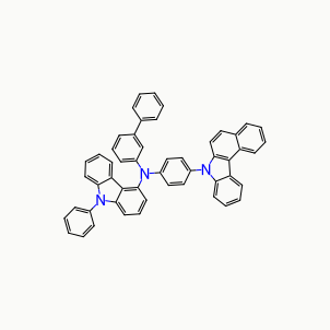 c1ccc(-c2cccc(N(c3ccc(-n4c5ccccc5c5c6ccccc6ccc54)cc3)c3cccc4c3c3ccccc3n4-c3ccccc3)c2)cc1